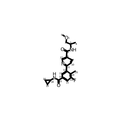 COCC(C)NC(=O)c1ccc(-c2cc(C(=O)NC3CC3)cc(F)c2C)nc1